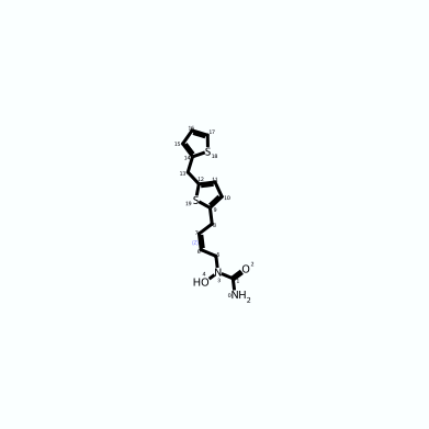 NC(=O)N(O)C/C=C\Cc1ccc(Cc2cccs2)s1